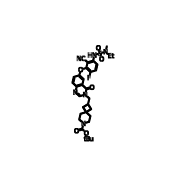 CCN(C)S(=O)(=O)Nc1ccc(F)c(Oc2ccc3ncn(CC4CC5(CCN(C(=O)OC(C)(C)C)CC5)C4)c(=O)c3c2)c1C#N